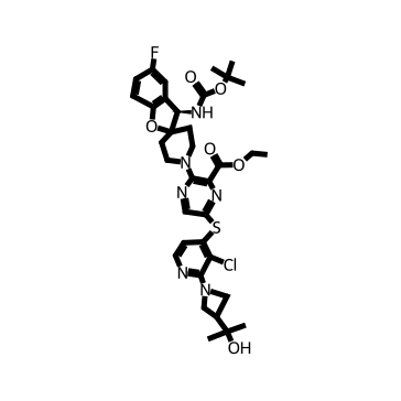 CCOC(=O)c1nc(Sc2ccnc(N3CC(C(C)(C)O)C3)c2Cl)cnc1N1CCC2(CC1)Oc1ccc(F)cc1[C@H]2NC(=O)OC(C)(C)C